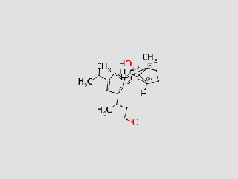 CC(C)c1cccc(C(C)CC=O)c1.CC1(C)[C@@H]2CC[C@]1(C)[C@@H](O)C2